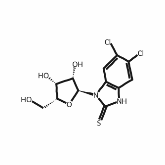 OC[C@H]1O[C@H](n2c(=S)[nH]c3cc(Cl)c(Cl)cc32)[C@@H](O)[C@H]1O